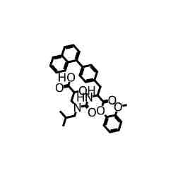 COc1ccccc1OC(=O)C(Cc1ccc(-c2cccc3ccccc23)cc1)NC(=O)N(CC(C)C)CC(O)C(=O)O